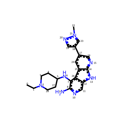 CCN1CCC(Nc2c(N)ncc3[nH]c4ncc(-c5cnn(C)c5)cc4c23)CC1